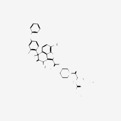 COC[C@H](NC(=O)OC(C)(C)C)C(=O)N1CCC[C@@H](NC(=O)c2sc3c(N)ccc4c3c2C(N)C(=O)C4(N)c2ccc(Oc3ccccc3)cc2C)C1